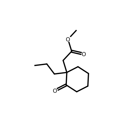 CCCC1(CC(=O)OC)CCCCC1=O